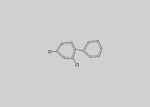 Clc1c[c]c(-c2ccccc2)c(Cl)c1